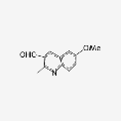 COc1ccc2nc(C)c(C=O)cc2c1